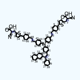 N#C/C(=C/c1ccc(-c2ccc(/C=C/c3ccc(N(c4ccc(/C=C(/c5ccccc5)c5ccc6ccccc6c5)cc4)c4ccc(/C=C/c5ccc(-c6ccc(/C=C(\C#N)C(=O)O)s6)cc5)cc4)cc3)cc2)s1)C(=O)O